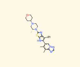 Cc1c(-c2[nH]c3sc(N4CCN(C5CCOCC5)C[C@H]4C)nc3c2C(C)C)cn2ncnc2c1C